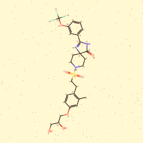 Cc1cc(OC[C@@H](O)CO)ccc1CCS(=O)(=O)N1CCC2(CC1)N=C(c1cccc(OC(F)(F)F)c1)NC2=O